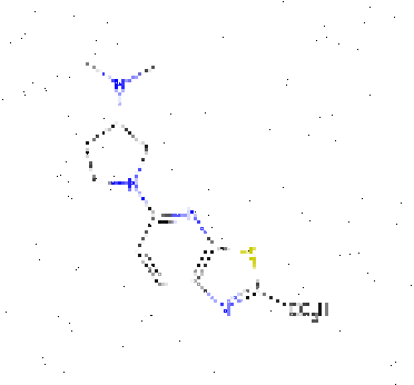 CN(C)C1CCN(c2ccc3nc(C(=O)O)sc3n2)C1